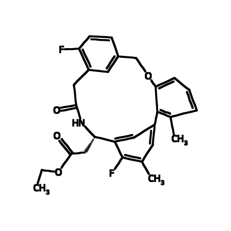 CCOC(=O)C[C@@H]1NC(=O)Cc2cc(ccc2F)COc2cccc(C)c2-c2cc(C)c(F)c1c2